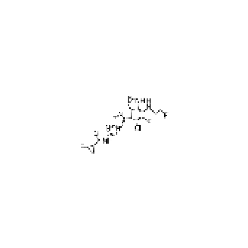 O=C(Nc1cn2cc(-c3c(Cl)c(F)c(NCCF)c4[nH]ncc34)ncc2n1)C1CC1F